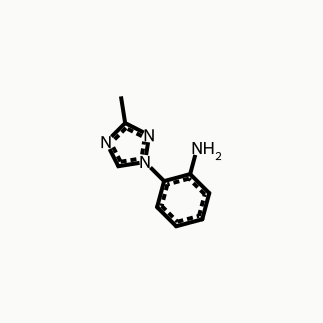 Cc1ncn(-c2ccccc2N)n1